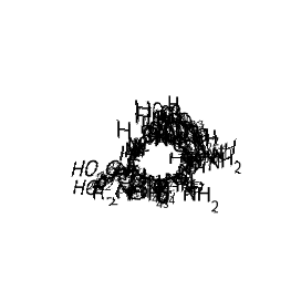 CC1Cn2cc(nn2)CC[C@H](C(=O)N[C@@H](Cc2ccc(O)cc2)C(=O)O)NC(=O)[C@H](CCC(N)=O)NC(=O)[C@H](Cc2c[nH]c3ccccc23)NC(=O)[C@H](CCCNC(N)=O)NC(=O)[C@@H]2CSSCC(NC(=O)CN)C(=O)N[C@@H]1C(=O)N[C@@H]([C@@H](C)O)C(=O)N[C@@H](CC(=O)O)C(=O)N1CCCC1C(=O)N[C@@H](CCCNC(=N)N)C(=O)N2